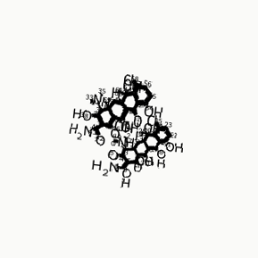 CN(C)[C@@H]1C(=O)/C(=C(\N)O)C(=O)[C@@]2(O)C(=O)C3=C(O)c4c(O)ccc(Cl)c4[C@@](C)(O)[C@H]3C[C@@H]12.CN(C)[C@@H]1C(O)=C(C(N)=O)C(=O)[C@@]2(O)C(O)=C3C(=O)c4c(O)ccc(Cl)c4[C@@](C)(O)[C@H]3C[C@@H]12